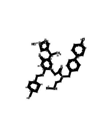 CCNCCN(Cc1ccc(-c2ccc(Cl)cc2)cc1)C(=O)Cn1cc(C(C)c2cn[nH]c2)c(=O)nc1SCc1ccc(F)cc1.Cl